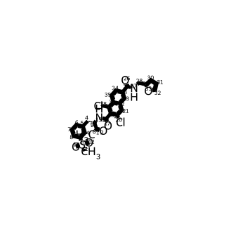 CC(=O)[C@H](Cc1cccc(S(C)(=O)=O)c1)NC(=O)c1c(Cl)cc2cc(C(=O)NCc3ccco3)ccc2c1Cl